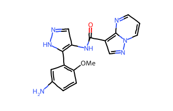 COc1ccc(N)cc1-c1[nH]ncc1NC(=O)c1cnn2cccnc12